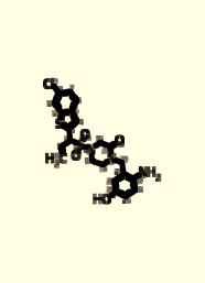 C=CC(c1cc2ccc(Cl)cc2s1)S(=O)(=O)N1CCN(Cc2cc(O)ccc2N)C(=O)C1